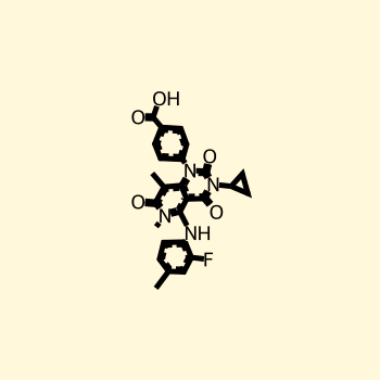 Cc1ccc(Nc2c3c(=O)n(C4CC4)c(=O)n(-c4ccc(C(=O)O)cc4)c3c(C)c(=O)n2C)c(F)c1